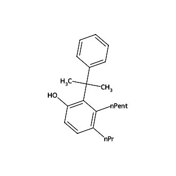 CCCCCc1c(CCC)ccc(O)c1C(C)(C)c1ccccc1